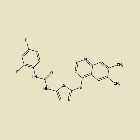 Cc1cc2nccc(Sc3ncc(NC(=O)Nc4ccc(F)cc4F)s3)c2cc1C